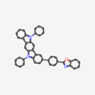 c1ccc(-n2c3ccccc3c3cc4c(cc32)c2cc(-c3ccc(-c5nc6ccccc6o5)cc3)ccc2n4-c2ccccc2)cc1